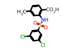 Cc1ccc(C(=O)O)c(NS(=O)(=O)c2cc(Cl)cc(Cl)c2)c1